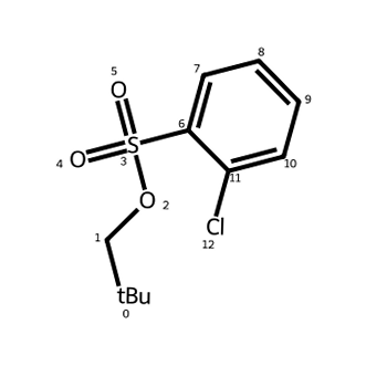 CC(C)(C)COS(=O)(=O)c1ccccc1Cl